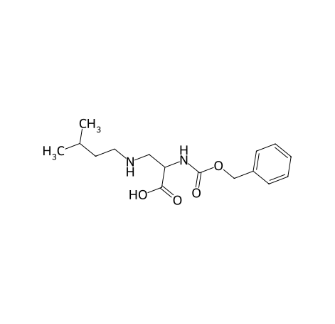 CC(C)CCNCC(NC(=O)OCc1ccccc1)C(=O)O